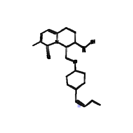 CC/C=C\C1CCC(OCC2C(NS)CCc3ccc(C)c(=O)n32)CC1